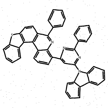 c1ccc(-c2nc(-c3cccc4c3nc(-c3ccccc3)c3ccc5sc6ccccc6c5c34)cc(-n3c4ccccc4c4ccccc43)n2)cc1